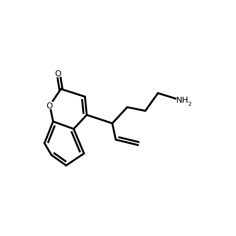 C=CC(CCCN)c1cc(=O)oc2ccccc12